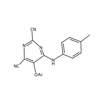 CC(=O)Oc1c(C#N)nc(C#N)nc1Nc1ccc(C)cc1